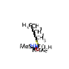 CSCCC(NC(C)=O)C(=O)NC(CSC/C=C(\C)CC/C=C(\C)CCC=C(C)C)C(=O)O